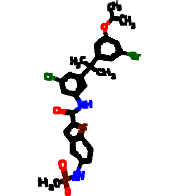 CC(C)Oc1cc(Br)cc(C(C)(C)c2cc(Cl)cc(NC(=O)c3cc4cc(NS(C)(=O)=O)ccc4s3)c2)c1